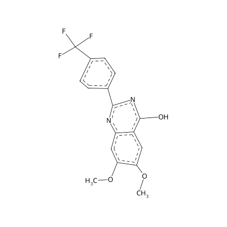 COc1cc2nc(-c3ccc(C(F)(F)F)cc3)nc(O)c2cc1OC